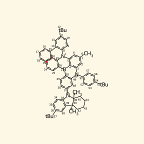 Cc1cc2c3c(c1)N(c1ccc(C(C)(C)C)cc1-c1ccccc1)c1ccccc1B3c1ccc(N3c4ccc(C(C)(C)C)cc4C4(C)CCCCC34C)cc1N2c1ccc(C(C)(C)C)cc1